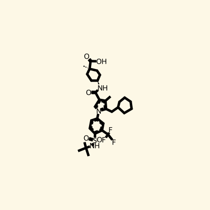 Cc1c(C(=O)N[C@H]2CC[C@](C)(C(=O)O)CC2)cn(-c2ccc(S(=O)(=O)NC(C)(C)C)c(C(F)(F)F)c2)c1CC1CCCCC1